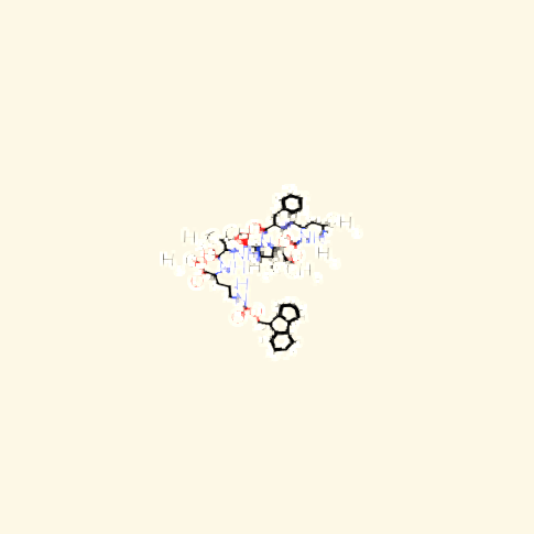 COC(=O)C(CCCNC(=O)OCC1c2ccccc2-c2ccccc21)NC(=O)C(NC(=O)[C@@H]1CCCN1C(=O)C(/C=C/C(CC(C)C)NC(=O)OC(C)(C)C)Cc1ccccc1)C(C)C